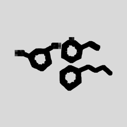 C=Cc1ccccn1.CCCCc1ccccc1.Oc1cccc(O)c1